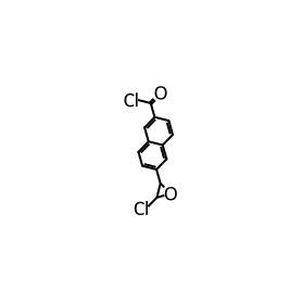 O=C(Cl)c1ccc2cc(C3OC3Cl)ccc2c1